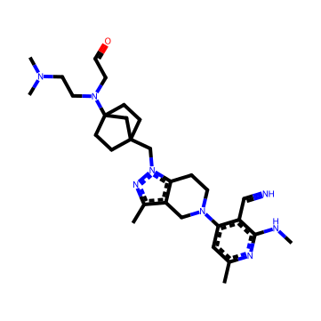 CNc1nc(C)cc(N2CCc3c(c(C)nn3CC34CCC(N(CC=O)CCN(C)C)(CC3)C4)C2)c1C=N